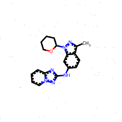 Cc1nn(C2CCCCO2)c2cc(Nc3nc4ccccn4n3)ccc12